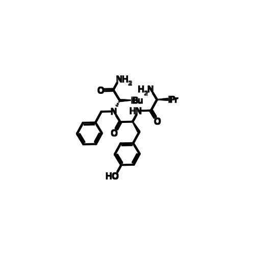 CC[C@H](C)[C@@H](C(N)=O)N(Cc1ccccc1)C(=O)[C@H](Cc1ccc(O)cc1)NC(=O)[C@@H](N)C(C)C